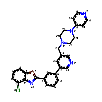 Clc1cccc2sc(-c3cccc(-c4cncc(CN5CCN(c6ccncc6)CC5)c4)c3)nc12